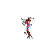 COc1ccc(C(OC[C@H]2O[C@@H](n3cc(/C=C/C(=O)NCCNC(=O)O[C@H]4CC[C@@]5(C)C(=CCC6C5CC[C@@]5(C)C6CC[C@@H]5[C@H](C)CCCC(C)C)C4)c(=O)[nH]c3=O)C[C@H]2OP(OCCC#N)N(C(C)C)C(C)C)(c2ccccc2)c2ccc(OC)cc2)cc1